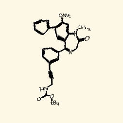 COc1cc2c(cc1-c1ccccc1)C(c1cccc(C#CCNC(=O)OC(C)(C)C)c1)=NCC(=O)N2C